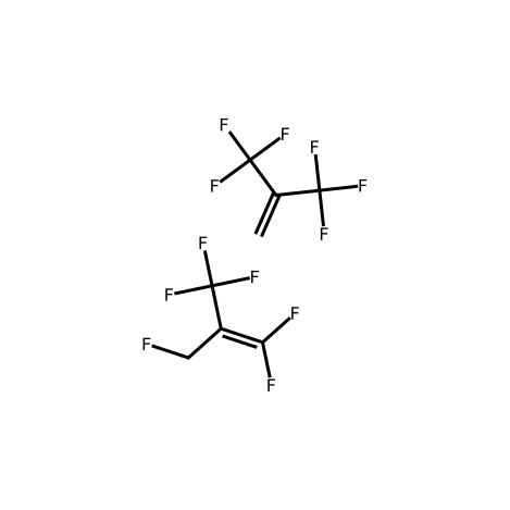 C=C(C(F)(F)F)C(F)(F)F.FCC(=C(F)F)C(F)(F)F